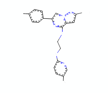 N#Cc1ccc(NCCNc2nc(-c3ccc(C(F)(F)F)cc3)cn3nc(C(=O)O)cc23)nc1